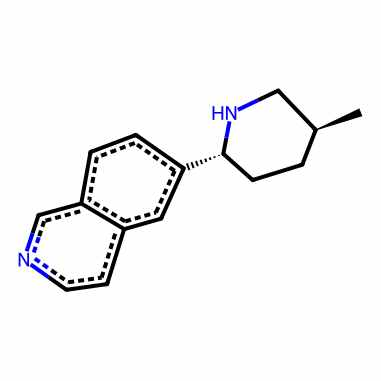 C[C@H]1CC[C@H](c2ccc3cnccc3c2)NC1